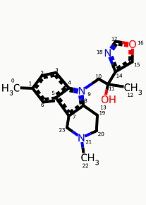 Cc1ccc2c(c1)c1c(n2CC(C)(O)c2cocn2)CCN(C)C1